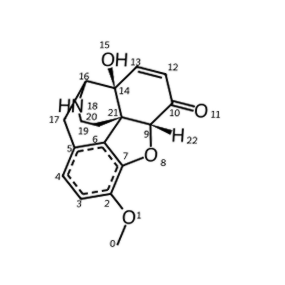 COc1ccc2c3c1O[C@H]1C(=O)C=C[C@@]4(O)C(C2)NCC[C@]314